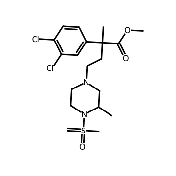 C=S(C)(=O)N1CCN(CCC(C)(C(=O)OC)c2ccc(Cl)c(Cl)c2)CC1C